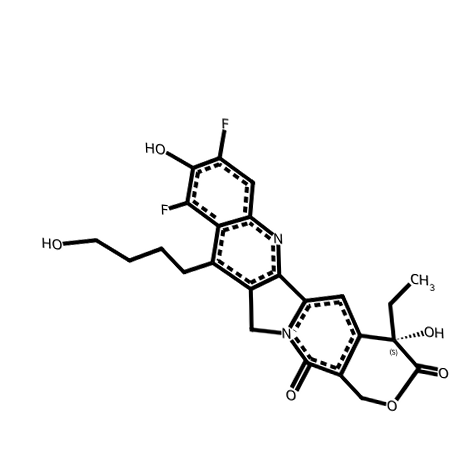 CC[C@@]1(O)C(=O)OCc2c1cc1n(c2=O)Cc2c-1nc1cc(F)c(O)c(F)c1c2CCCCO